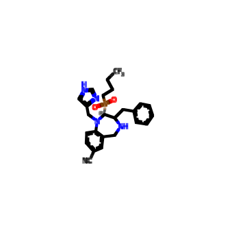 N#Cc1ccc2c(c1)CNC(Cc1ccccc1)[C@@H](S(=O)(=O)CCCC(F)(F)F)N2Cc1c[nH]cn1